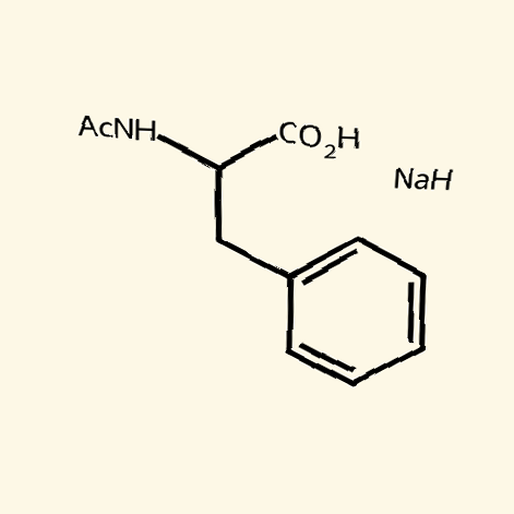 CC(=O)NC(Cc1ccccc1)C(=O)O.[NaH]